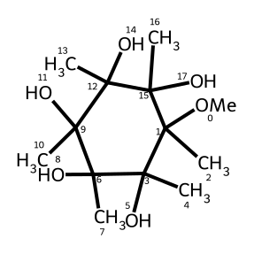 COC1(C)C(C)(O)C(C)(O)C(C)(O)C(C)(O)C1(C)O